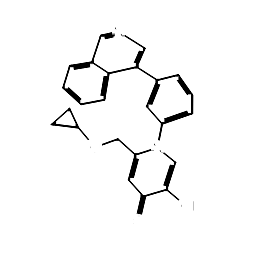 O=c1cc(COC2CC2)n(-c2cccc(-c3cncc4ccccc34)c2)cc1O